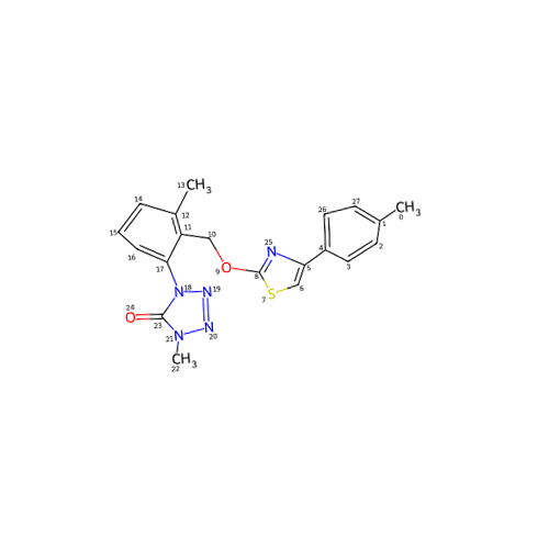 Cc1ccc(-c2csc(OCc3c(C)cccc3-n3nnn(C)c3=O)n2)cc1